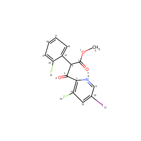 COC(=O)C(C(=O)c1ncc(I)cc1F)c1ccccc1F